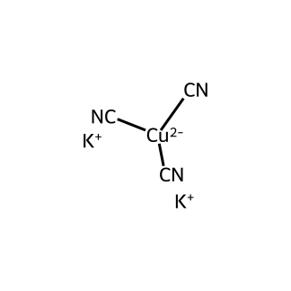 N#[C][Cu-2]([C]#N)[C]#N.[K+].[K+]